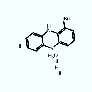 CCC(C)c1cccc2c1Nc1ccccc1S2.I.I.I.I.O